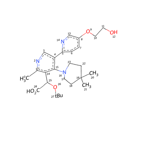 Cc1ncc(-c2ccc(OCCO)cn2)c(N2CCC(C)(C)CC2)c1C(OC(C)(C)C)C(=O)O